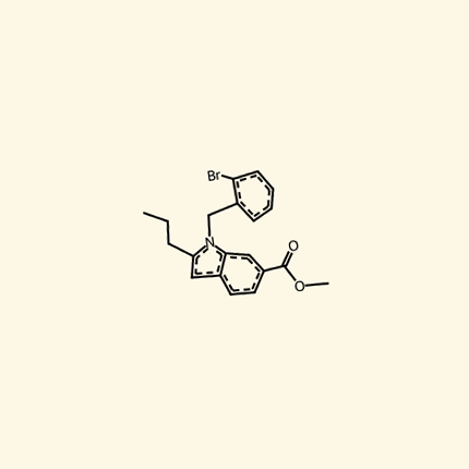 CCCc1cc2ccc(C(=O)OC)cc2n1Cc1ccccc1Br